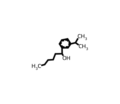 CCCCCC(O)c1cccc(C(C)C)c1